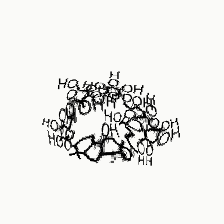 CC(CCC(O[C@H]1OC(CO[C@H]2OC(CO)[C@H](O)C(O)[C@H]2O)[C@H](O)C(O)[C@H]1O[C@H]1CC(CO)[C@H](O)C(O)[C@H]1O)C(C)(C)O)[C@@H]1CC[C@@]2(C)C3CC=C4C(CCC(O[C@@H]5OC(CO[C@@H]6OC(CO)[C@@H](O)[C@@H](O)C6O)[C@@H](O)[C@@H](O)C5O)C4(C)C)[C@@]3(C)[C@H](O)CC12C